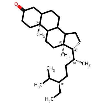 CC[C@H](CC[C@@H](C)[C@H]1CCC2C3CCC4CC(=O)CC[C@]4(C)C3CC[C@@]21C)C(C)C